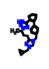 CCCCC1=NN(CC2CC2)CN1Cc1ccc(-c2ccccc2-c2nnn[nH]2)cc1